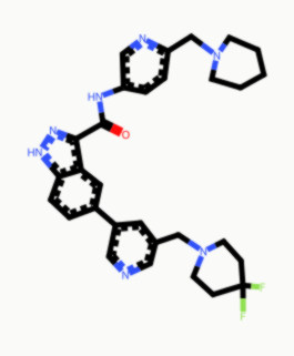 O=C(Nc1ccc(CN2CCCCC2)nc1)c1n[nH]c2ccc(-c3cncc(CN4CCC(F)(F)CC4)c3)cc12